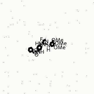 COc1cc(Nc2ncc(F)c(Nc3ccc(NS(=O)(=O)Cc4ccccc4)cc3)n2)cc(OC)c1OC